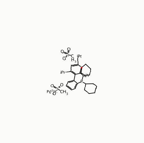 CC(C)c1cc(C(C)C)c(-c2ccccc2P(C2CCCCC2)C2CCCCC2)c(C(C)C)c1.CS(=O)(=O)[O-].CS(=O)(=O)[O-].[Pd+2]